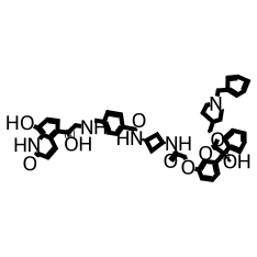 O=C(COc1cccc([C@](O)(C(=O)OCC2CCN(Cc3ccccc3)CC2)c2ccccc2)c1)N[C@H]1C[C@H](NC(=O)c2ccc(CNC[C@H](O)c3ccc(O)c4[nH]c(=O)ccc34)cc2)C1